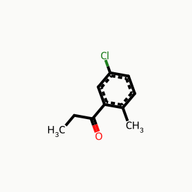 CCC(=O)c1cc(Cl)ccc1C